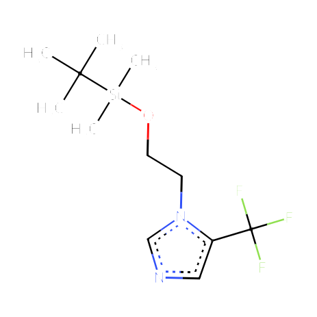 CC(C)(C)[Si](C)(C)OCCn1cncc1C(F)(F)F